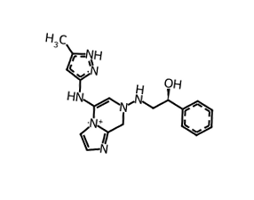 Cc1cc(NC2=CN(NC[C@@H](O)c3ccccc3)CC3=NC=C[N+]23)n[nH]1